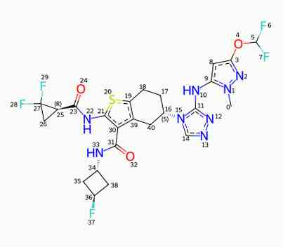 Cn1nc(OC(F)F)cc1Nc1nncn1[C@H]1CCc2sc(NC(=O)[C@H]3CC3(F)F)c(C(=O)N[C@H]3C[C@H](F)C3)c2C1